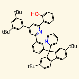 CC(C)(C)c1cc(-c2cc(-c3cccc(C4(c5ccccn5)c5cc(C(C)(C)C)ccc5-c5ccc(C(C)(C)C)cc54)c3)nc(-c3ccccc3O)c2)cc(C(C)(C)C)c1